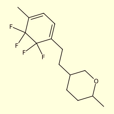 CC1=CC=C(CCC2CCC(C)OC2)C(F)(F)C1(F)F